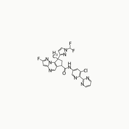 CC1(c2ccn(C(F)F)n2)CC(C(=O)Nc2cnc(-c3ncccn3)c(Cl)c2)c2cnc3cc(F)nn3c21